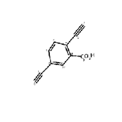 C#Cc1ccc(C#C)c(C(=O)O)c1